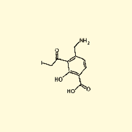 NCc1ccc(C(=O)O)c(O)c1C(=O)CI